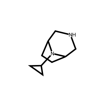 C1CC1N1C2CCC1CNC2